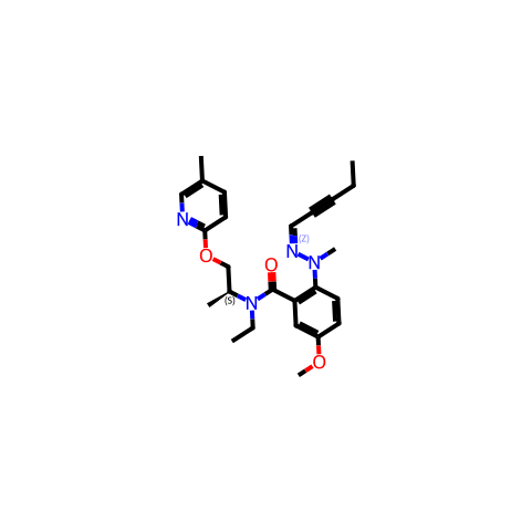 CCC#C/C=N\N(C)c1ccc(OC)cc1C(=O)N(CC)[C@@H](C)COc1ccc(C)cn1